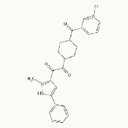 Cc1[nH]c(-c2ccccc2)cc1C(=O)C(=O)N1CCC(C(=O)c2cccc(Cl)c2)CC1